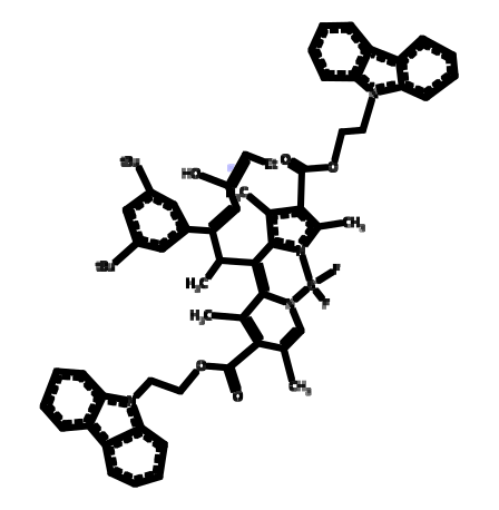 CC/C=C(/O)C=C(c1cc(C(C)(C)C)cc(C(C)(C)C)c1)C(C)C1=C2C(C)=C(C(=O)OCCn3c4ccccc4c4ccccc43)C(C)=CN2[B-](F)(F)n2c(C)c(C(=O)OCCn3c4ccccc4c4ccccc43)c(C)c21